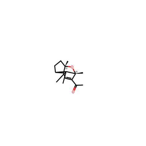 CC(=O)C1=CC2C3CC[C@]2(C)O[C@@]1(C)C3(C)C